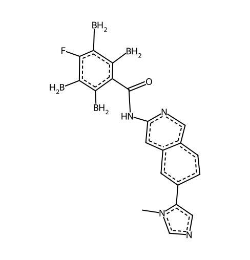 Bc1c(B)c(C(=O)Nc2cc3cc(-c4cncn4C)ccc3cn2)c(B)c(B)c1F